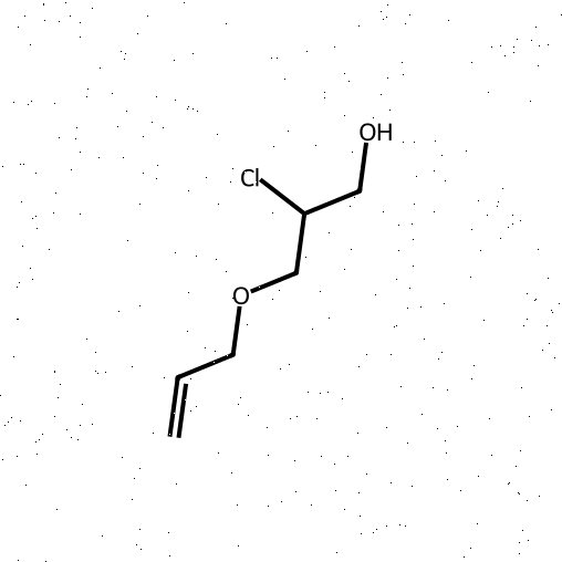 C=CCOCC(Cl)CO